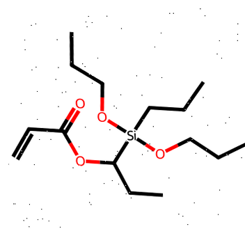 C=CC(=O)OC(CC)[Si](CCC)(OCCC)OCCC